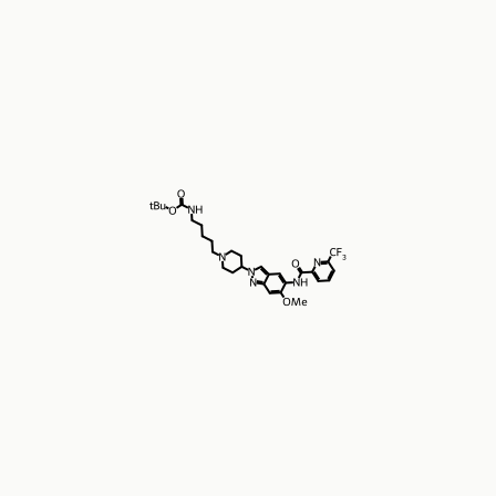 COc1cc2nn(C3CCN(CCCCCNC(=O)OC(C)(C)C)CC3)cc2cc1NC(=O)c1cccc(C(F)(F)F)n1